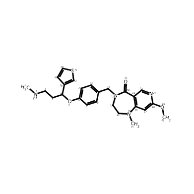 CNCCC(Oc1ccc(CN2CCN(C)c3cc(OC)ncc3C2=O)cc1)c1ccsc1